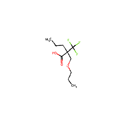 CCCOCC(CCC)(C(=O)O)C(F)(F)F